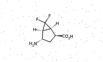 N[C@H]1C[C@H](C(=O)O)[C@H]2[C@@H]1C2(F)F